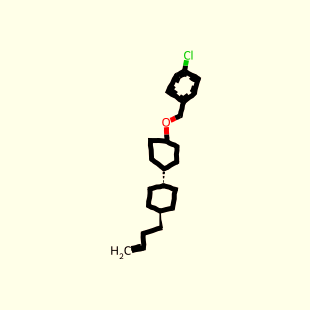 C=CCC[C@H]1CC[C@H](C2CCC(OCc3ccc(Cl)cc3)CC2)CC1